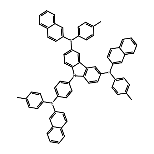 Cc1ccc(N(c2ccc(-n3c4ccc(N(c5ccc(C)cc5)c5ccc6ccccc6c5)cc4c4cc(N(c5ccc(C)cc5)c5ccc6ccccc6c5)ccc43)cc2)c2ccc3ccccc3c2)cc1